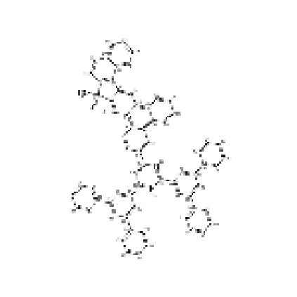 CC1(C)c2cc3c4ccc(-c5nc(-c6cc(-c7ccccc7)cc(-c7ccccc7)c6)nc(-c6cc(-c7ccccc7)cc(-c7ccccc7)c6)n5)cc4c4ccccc4c3cc2-c2c1ccc1ccccc21